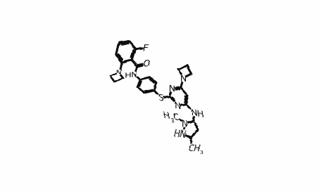 CC1CC(Nc2cc(N3CCC3)nc(Sc3ccc(NC(=O)c4c(F)cccc4N4CCC4)cc3)n2)N(C)N1